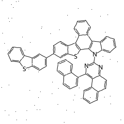 c1ccc2c(-c3nc(-n4c5ccccc5c5c6ccccc6c6c7ccc(-c8ccc9sc%10ccccc%10c9c8)cc7sc6c54)nc4ccc5ccccc5c34)cccc2c1